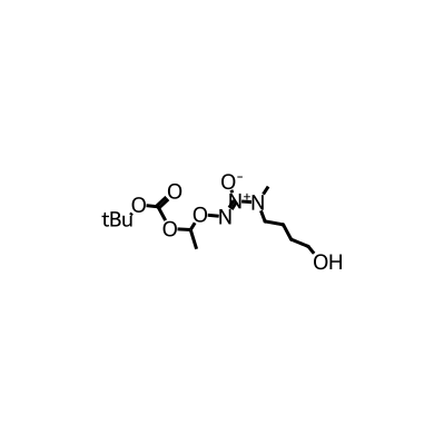 CC(ON=[N+]([O-])N(C)CCCCO)OC(=O)OC(C)(C)C